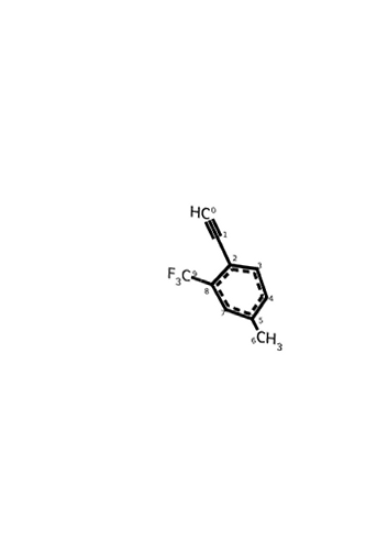 C#Cc1ccc(C)cc1C(F)(F)F